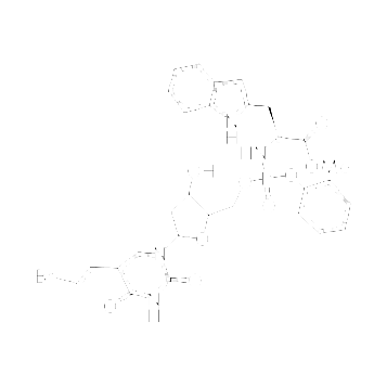 COC(=O)[C@H](Cc1cc2ccccc2[nH]1)NP(=O)(OCC1OC(n2cc(/C=C/Br)c(=O)[nH]c2=O)CC1O)Oc1ccccc1